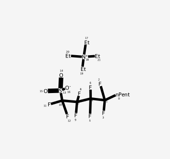 CCCCCC(F)(F)C(F)(F)C(F)(F)C(F)(F)S(=O)(=O)[O-].CC[N+](CC)(CC)CC